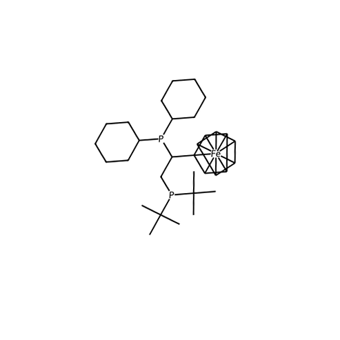 CC(C)(C)P(CC(P(C1CCCCC1)C1CCCCC1)[C]12[CH]3[CH]4[CH]5[CH]1[Fe]45321678[CH]2[CH]1[CH]6[CH]7[CH]28)C(C)(C)C